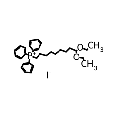 CCOC(CCCCCCCC[P+](c1ccccc1)(c1ccccc1)c1ccccc1)OCC.[I-]